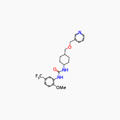 COc1ccc(C(F)(F)F)cc1NC(=O)NC1CCC(COCc2cccnc2)CC1